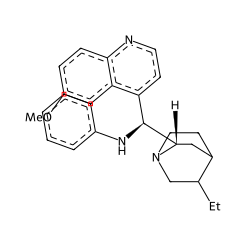 CCC1CN2CCC1C[C@H]2[C@@H](Nc1ccccc1)c1ccnc2ccc(OC)cc12